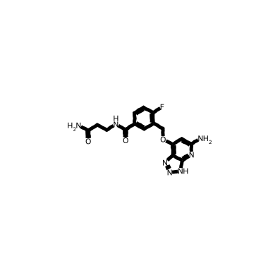 NC(=O)CCNC(=O)c1ccc(F)c(COc2cc(N)nc3[nH]nnc23)c1